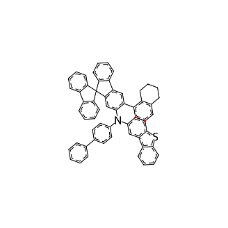 c1ccc(-c2ccc(N(c3ccc4sc5ccccc5c4c3)c3cc4c(cc3-c3cccc5c3CCCC5)-c3ccccc3C43c4ccccc4-c4ccccc43)cc2)cc1